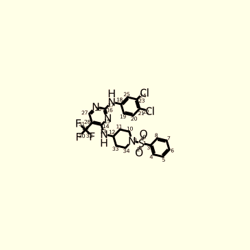 O=S(=O)(c1ccccc1)N1CCC(Nc2nc(Nc3ccc(Cl)c(Cl)c3)ncc2C(F)(F)F)CC1